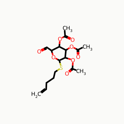 C=CCCCSC1OC(C=O)C(OC(C)=O)C(OC(C)=O)C1OC(C)=O